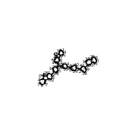 CC1(C)c2ccccc2-c2ccc(-c3ccc(N(c4ccc(-c5ccc(-c6cccc(-c7ccc8ccccc8c7)c6)cc5)cc4)c4ccc5sc6ccccc6c5c4)cc3)cc21